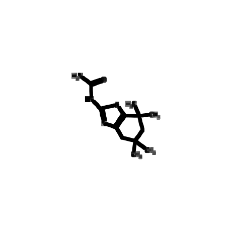 CC1(C)Cc2nc(NC(N)=O)sc2C(C)(C)C1